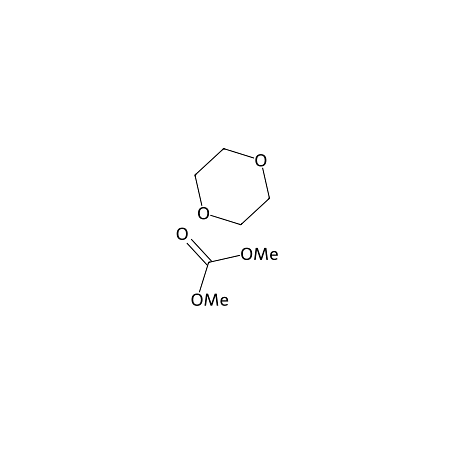 C1COCCO1.COC(=O)OC